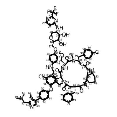 COC[C@@H]1NC(=O)[C@H](CCCNc2ccc(OC[C@H]3OC[C@H](Nc4ccnc(C(F)(F)F)n4)[C@@H](O)[C@H]3O)cc2)N(Cc2ccc(Cl)cc2Oc2ccc(-c3cnc(CN(C)C)n3C)cc2)C(=O)C[C@@H](Cc2ccccc2)C(=O)N(C)[C@H]2CCCC[C@@H]2NC(=O)C[C@H](Cc2ccc(Cl)cc2)N(C)C1=O